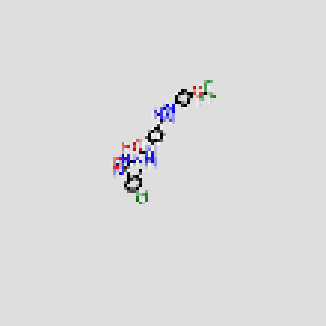 Cc1cc(Cl)ccc1-c1nonc1NC(O)Nc1ccc(-c2ncn(-c3ccc(OC(F)(F)F)cc3)n2)cc1